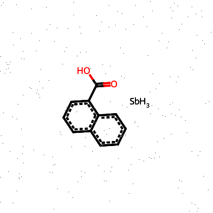 O=C(O)c1cccc2ccccc12.[SbH3]